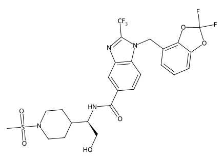 CS(=O)(=O)N1CCC([C@H](CO)NC(=O)c2ccc3c(c2)nc(C(F)(F)F)n3Cc2cccc3c2OC(F)(F)O3)CC1